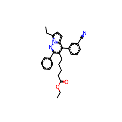 CCOC(=O)CCCCc1c(-c2ccccc2)nn2c(CC)ccc2c1-c1cccc(C#N)c1